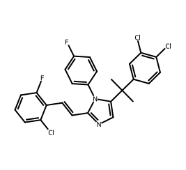 CC(C)(c1ccc(Cl)c(Cl)c1)c1cnc(C=Cc2c(F)cccc2Cl)n1-c1ccc(F)cc1